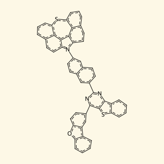 c1ccc2c(c1)oc1ccc(-c3nc(-c4ccc5cc(-n6c7ccc8cccc9sc%10cccc%11ccc6c(c%11%10)c7c89)ccc5c4)nc4c3sc3ccccc34)cc12